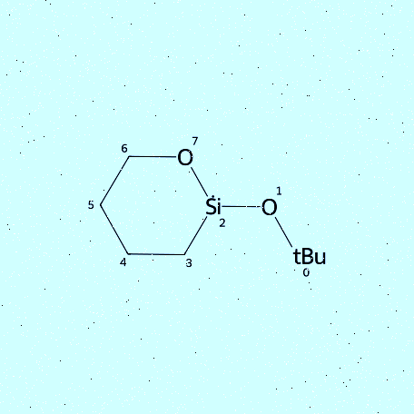 CC(C)(C)O[Si]1CCCCO1